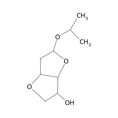 CC(C)OC1CC2OCC(O)C2O1